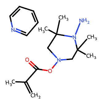 C=C(C)C(=O)ON1CC(C)(C)N(N)C(C)(C)C1.c1ccncc1